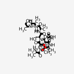 C[C@H](CO)NC(=O)[C@H](C)NC(=O)[C@H](C)NC(=O)[C@H](CO)NC(=O)[C@H](C)NC(=O)[C@H](C)NC(=O)[C@H](COP(=O)(O)O)NC(=O)[C@H](C)NC(=O)[C@H](C)N